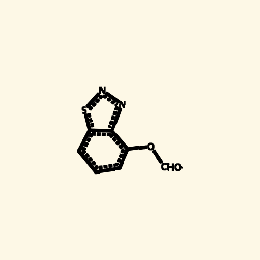 O=[C]Oc1cccc2snnc12